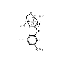 COc1cc(F)cc(O[C@H]2C[C@H]3CC[C@@H](C2)N3C(=O)O)c1